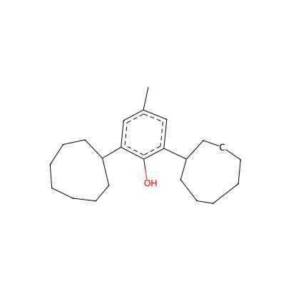 Cc1cc(C2CCCCCCC2)c(O)c(C2CCCCCCC2)c1